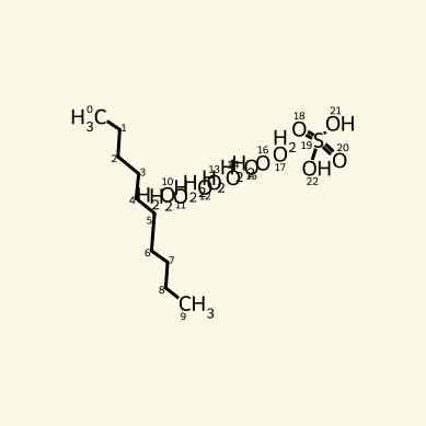 CCCCCCCCCC.O.O.O.O.O.O.O.O.O=S(=O)(O)O